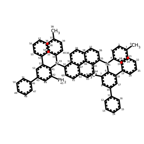 Cc1ccc(N(c2c(C)cc(-c3ccccc3)cc2-c2ccccc2)c2ccc3ccc4c(N(c5ccc(C)cc5)c5c(P)cc(-c6ccccc6)cc5-c5ccccc5)ccc5ccc2c3c54)cc1